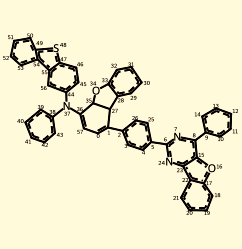 C1=C(c2ccc(-c3nc(-c4ccccc4)c4oc5ccccc5c4n3)cc2)C2c3ccccc3OC2C(N(c2ccccc2)c2ccc3sc4ccccc4c3c2)=C1